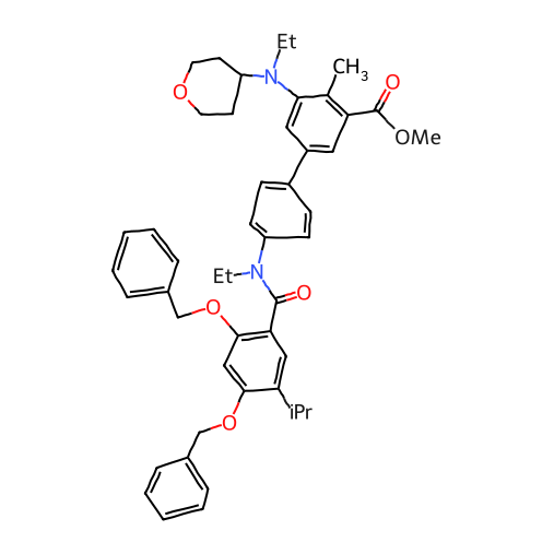 CCN(C(=O)c1cc(C(C)C)c(OCc2ccccc2)cc1OCc1ccccc1)c1ccc(-c2cc(C(=O)OC)c(C)c(N(CC)C3CCOCC3)c2)cc1